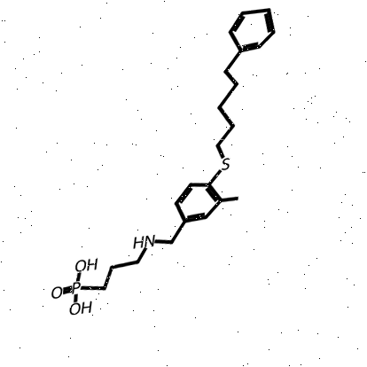 Cc1cc(CNCCCP(=O)(O)O)ccc1SCCCCCc1ccccc1